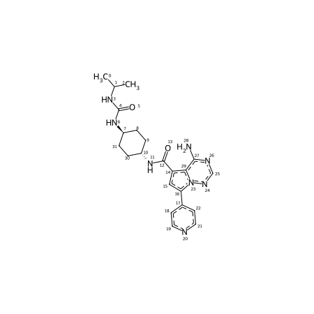 CC(C)NC(=O)N[C@H]1CC[C@H](NC(=O)c2cc(-c3ccncc3)n3ncnc(N)c23)CC1